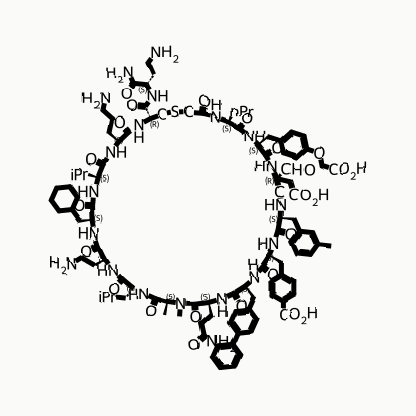 CCC[C@@H]1NC(=O)CSC[C@@H](C(=O)N[C@@H](CCN)C(N)=O)NC(=O)[C@H](CCCN)NC(=O)[C@H](C(C)C)NC(=O)[C@H](CC2CCCCC2)NC(=O)[C@H](CCN)NC(=O)[C@@H](CC(C)C)NC(=O)[C@H](C)N(C)C(=O)[C@H](CCC(N)=O)NC(=O)[C@H](Cc2ccc(-c3ccccc3)cc2)NC(=O)[C@H](Cc2ccc(C(=O)O)cc2)NC(=O)[C@H](Cc2cccc(C)c2)NC[C@@](C=O)(CC(=O)O)NC(=O)[C@H](Cc2ccc(OCC(=O)O)cc2)NC1=O